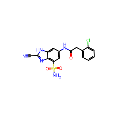 N#Cc1nc2c(S(N)(=O)=O)cc(NC(=O)Cc3ccccc3Cl)cc2[nH]1